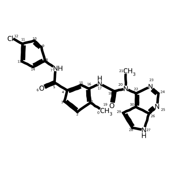 Cc1ccc(C(=O)Nc2ccc(Cl)cc2)cc1NC(=O)N(C)c1ncnc2[nH]ccc12